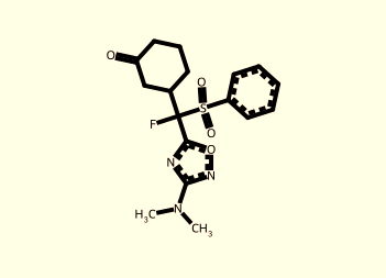 CN(C)c1noc(C(F)(C2CCCC(=O)C2)S(=O)(=O)c2ccccc2)n1